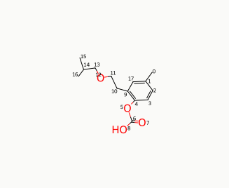 Cc1ccc(OC(=O)O)c(CCOCC(C)C)c1